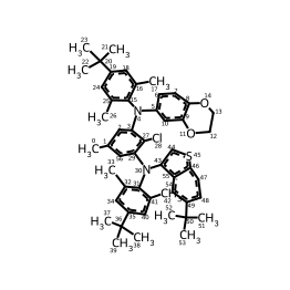 Cc1cc(N(c2ccc3c(c2)OCCO3)c2c(C)cc(C(C)(C)C)cc2C)c(Cl)c(N(c2c(C)cc(C(C)(C)C)cc2C)c2csc3ccc(C(C)(C)C)cc23)c1